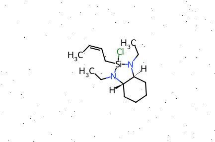 C/C=C\C[Si]1(Cl)N(CC)[C@H]2CCCC[C@@H]2N1CC